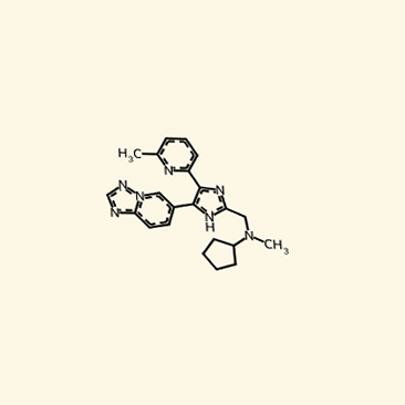 Cc1cccc(-c2nc(CN(C)C3CCCC3)[nH]c2-c2ccc3ncnn3c2)n1